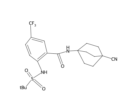 CC(C)(C)S(=O)(=O)Nc1ccc(C(F)(F)F)cc1C(=O)NC12CCC(C#N)(CC1)CC2